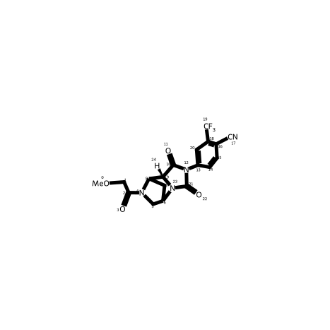 COCC(=O)N1CC2CC1[C@@H]1C(=O)N(c3ccc(C#N)c(C(F)(F)F)c3)C(=O)N21